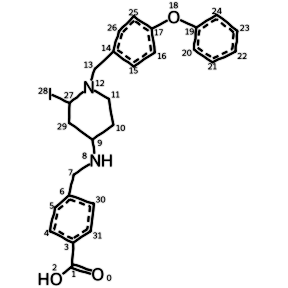 O=C(O)c1ccc(CNC2CCN(Cc3ccc(Oc4ccccc4)cc3)C(I)C2)cc1